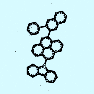 c1ccc(-c2cc3ccccc3cc2-c2cc3cccc4c(-n5c6ccccc6c6ccccc65)cc5cccc2c5c34)cc1